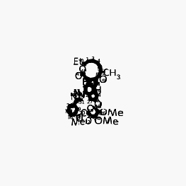 CC[C@H]1CCCC[C@@H](C)C(=O)C2=CC3[C@@H]4C[C@H](OC5OC(C)C(OC)C(OC)C5OC)CC4C(n4cc(-c5cccc(Cl)c5)nn4)=C[C@H]3[C@@H]2CC(=O)O1